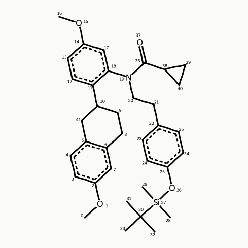 COc1ccc2c(c1)CCC(c1ccc(OC)cc1N(CCc1ccc(O[Si](C)(C)C(C)(C)C)cc1)C(=O)C1CC1)C2